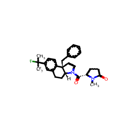 CN1C(=O)CC[C@H]1C(=O)N1CC[C@@]2(Cc3ccccc3)c3ccc(C(C)(F)C(F)(F)F)cc3CC[C@@H]12